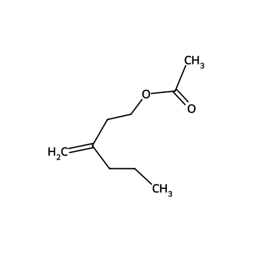 C=C(CCC)CCOC(C)=O